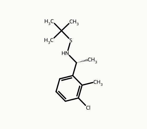 Cc1c(Cl)cccc1[C@@H](C)NSC(C)(C)C